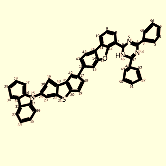 c1ccc(C2=NC(c3cccc4c3oc3cc(-c5ccc6sc7cc(-n8c9ccccc9c9ccccc98)ccc7c6c5)ccc34)NC(c3ccccc3)=N2)cc1